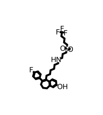 O=S(=O)(CCCCC(F)(F)F)CCCNCCCCCCC1=C(c2ccc(F)cc2)CCCc2cc(O)ccc21